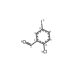 O=Cc1cc(I)ccc1Cl